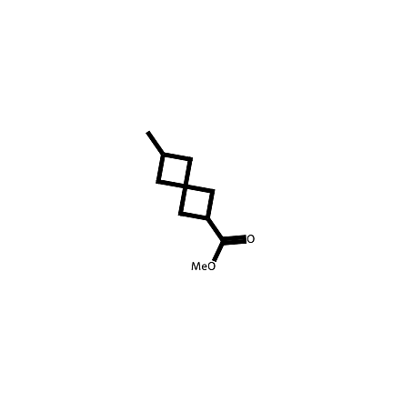 COC(=O)C1CC2(CC(C)C2)C1